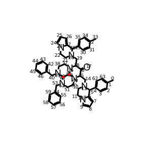 Cc1ccc(C2c3cccn3CCN2CC(C(=O)C(CN2CCn3cccc3C2c2ccc(C)cc2)N2CCN(Cc3ccccc3)CC2)N2CCN(Cc3ccccc3)CC2)cc1